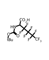 CC(C)(C)OC(=O)NC(C(=O)O)C(F)(F)C(F)(F)C(F)(F)C(F)(F)F